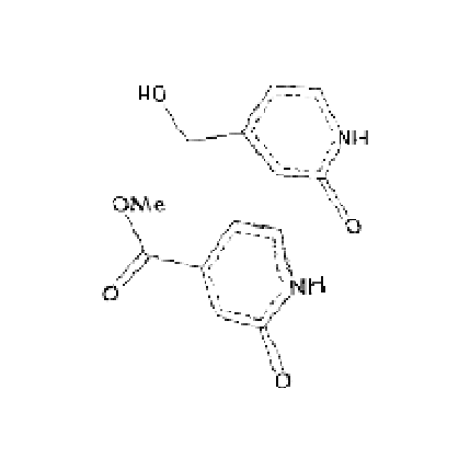 COC(=O)c1cc[nH]c(=O)c1.O=c1cc(CO)cc[nH]1